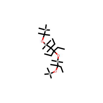 CCC(CC)(O[Si](C)(C)C(C)(CC)O[Si](C)(C)C)C(C)(CC)[Si](C)(C)OC(C)(C)[Si](C)(C)C